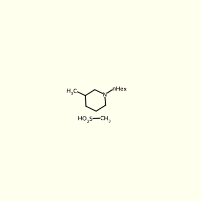 CCCCCCN1CCCC(C)C1.CS(=O)(=O)O